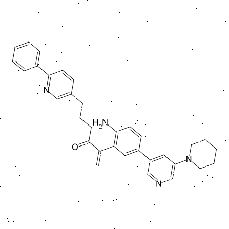 C=C(C(=O)CCCc1ccc(-c2ccccc2)nc1)c1cc(-c2cncc(N3CCCCC3)c2)ccc1N